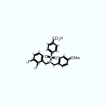 COc1ccc(CN(Cc2cccc(F)c2F)S(=O)(=O)c2ccc(C(=O)O)cc2)cc1